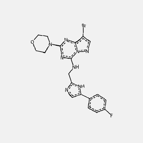 Fc1ccc(-c2cnc(CNc3nc(N4CCOCC4)nc4c(Br)cnn34)[nH]2)cc1